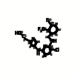 OCCn1cc(Nc2ncc(Cl)c(NCc3cccc(F)c3C(F)(F)F)n2)cn1